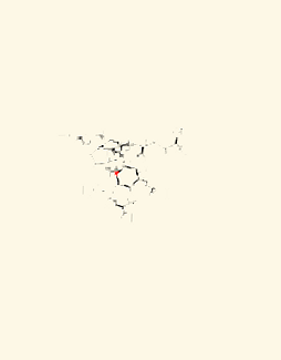 COc1cc(C[N+]2(C)[C@@H]3CC[C@H]2CC(OC(=O)CCC(=O)O)C3)cc(OC)c1OC(C)=O.Cl.Cl